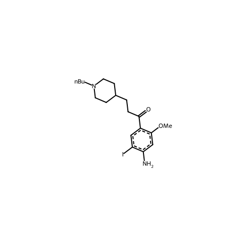 CCCCN1CCC(CCC(=O)c2cc(I)c(N)cc2OC)CC1